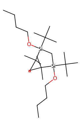 CCCCO[Si](C[Si](OCCCC)(C(C)(C)C)C(C)(C)C)(C(C)(C)C)C(C)(C)C